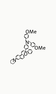 COc1ccc(CN(Cc2ccc(OC)cc2)c2ccc(C3(c4ccccc4)C=Cc4c(ccc5cc(N6CCCCC6)ccc45)O3)cc2)cc1